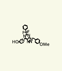 COc1ccc(Cn2nnc3c(N4CC[C@H](O)C4)nc(C(F)(F)c4ccccc4)nc32)cc1